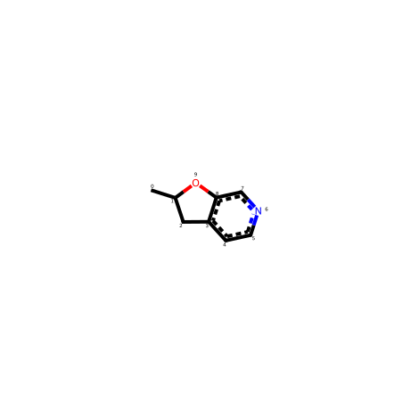 CC1Cc2ccncc2O1